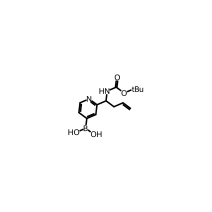 C=CCC(NC(=O)OC(C)(C)C)c1cc(B(O)O)ccn1